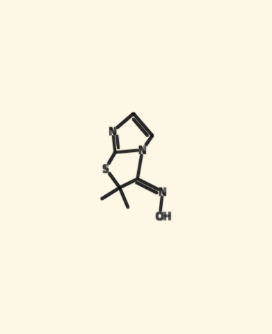 CC1(C)Sc2nccn2C1=NO